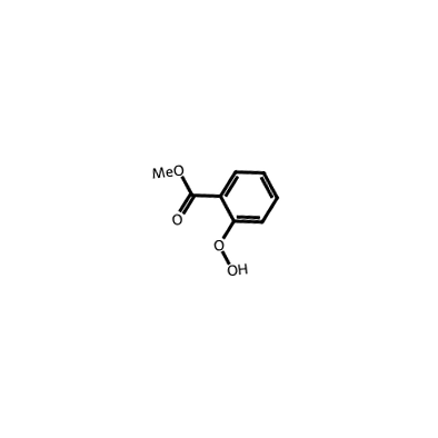 COC(=O)c1ccccc1OO